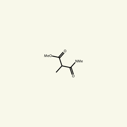 CNC(=O)C(C)C(=O)OC